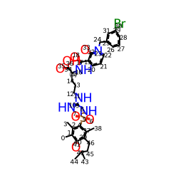 Cc1c(C)c(S(=O)(=O)NC(=N)NCCC[C@H](NC(=O)c2cccn(Cc3cccc(Br)c3)c2=O)C(=O)O)c(C)c2c1OC(C)(C)CC2